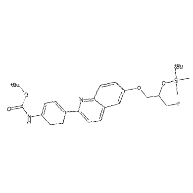 CC(C)(C)OC(=O)NC1=CC=C(c2ccc3cc(OCC(CF)O[Si](C)(C)C(C)(C)C)ccc3n2)CC1